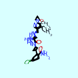 Cc1c(CN/C=C(\N=N)C(=O)NC2CC(c3cc(Cl)ccc3C(N)=O)C2)cnc(N2CC3CC3C2=O)c1C